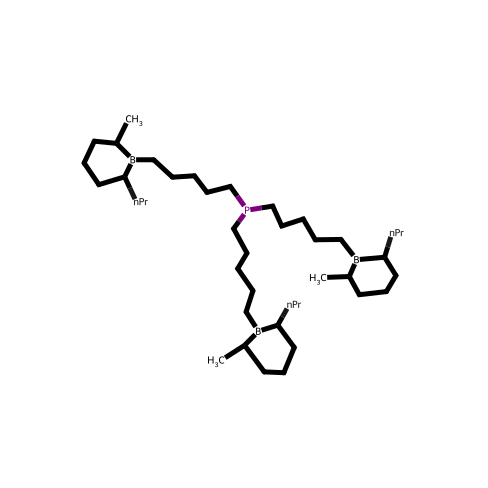 CCCC1CCCC(C)B1CCCCCP(CCCCCB1C(C)CCCC1CCC)CCCCCB1C(C)CCCC1CCC